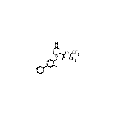 Cc1cc(-c2ccccc2)ccc1CN1CCNCC1C(=O)OC(C(F)(F)F)C(F)(F)F